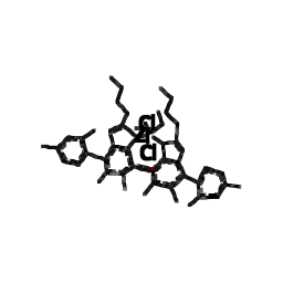 CCCCC1=Cc2c(-c3ccc(C)cc3C)c(C)c(C)c(C)c2[CH]1[Zr]([Cl])([Cl])([CH2]C)[CH]1C(CCCC)=Cc2c(-c3ccc(C)cc3C)c(C)c(C)c(C)c21